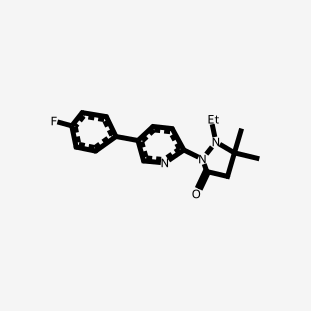 CCN1N(c2ccc(-c3ccc(F)cc3)cn2)C(=O)CC1(C)C